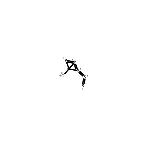 OC12P=P1=P2=S=S